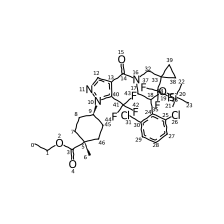 CCOC(=O)[C@]1(C)CC[C@@H](n2ncc(C(=O)N(CC(O[Si](C)(C)C)c3c(Cl)cccc3Cl)CC3(C(F)(F)F)CC3)c2C(F)(F)F)CC1